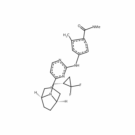 CNC(=O)c1ncc(Nc2nccc(N3C[C@H]4CC[C@@H](C3)N4C[C@@H]3CC3(F)F)n2)cc1C